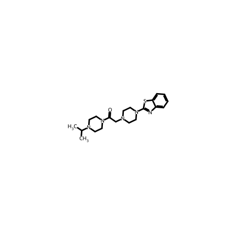 CC(C)N1CCN(C(=O)CN2CCN(c3nc4ccccc4s3)CC2)CC1